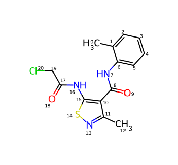 Cc1ccccc1NC(=O)c1c(C)nsc1NC(=O)CCl